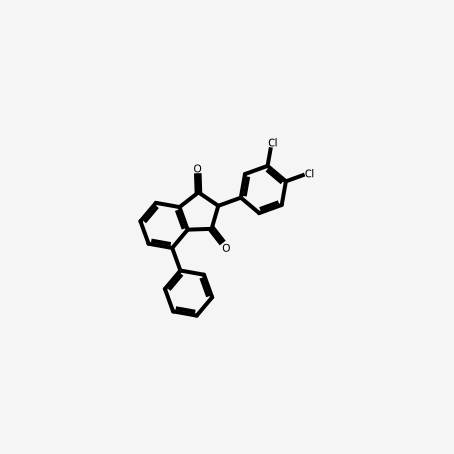 O=C1c2cccc(-c3ccccc3)c2C(=O)C1c1ccc(Cl)c(Cl)c1